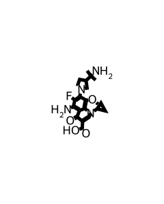 COc1c(N2CCC(C(C)(C)N)C2)c(F)c(N)c2c(=O)c(C(=O)O)cn(C3CC3)c12